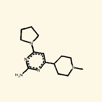 CN1CCC(c2cc(N3CCCC3)nc(N)n2)CC1